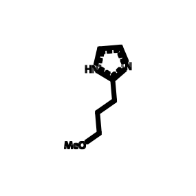 COCCCc1ncc[nH]1